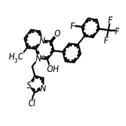 Cc1cccn2c(=O)c(-c3cccc(-c4cc(C(F)(F)F)ccc4F)c3)c(O)[n+](Cc3cnc(Cl)s3)c12